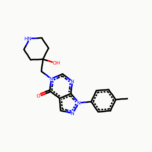 Cc1ccc(-n2ncc3c(=O)n(CC4(O)CCNCC4)cnc32)cc1